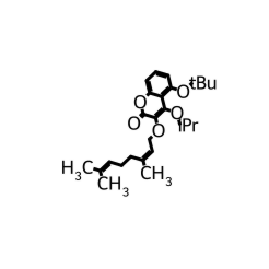 CC(C)=CCCC(C)=CCOc1c(OC(C)C)c2c(OC(C)(C)C)cccc2oc1=O